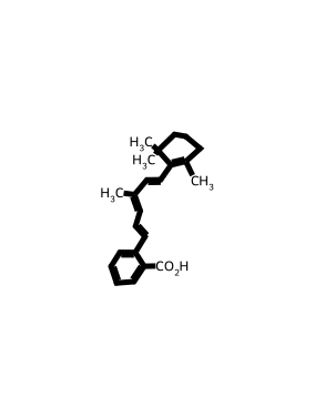 CC(C=CC1=C(C)CCCC1(C)C)=CC=Cc1ccccc1C(=O)O